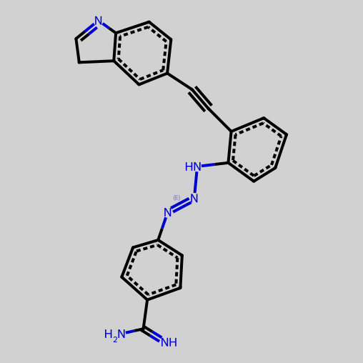 N=C(N)c1ccc(/N=N/Nc2ccccc2C#Cc2ccc3c(c2)CC=N3)cc1